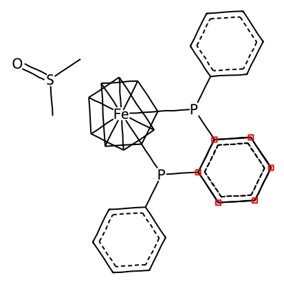 CS(C)=O.c1ccc(P(c2ccccc2)[C]23[CH]4[CH]5[CH]6[C]2(P(c2ccccc2)c2ccccc2)[Fe]54632789[CH]3[CH]2[CH]7[CH]8[CH]39)cc1